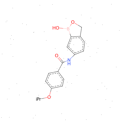 CC(C)Oc1ccc(C(=O)Nc2ccc3c(c2)B(O)OC3)cc1